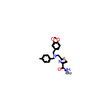 CCC(C)NC(=O)c1csc(CN(Cc2ccc(C)cc2)Cc2ccc3c(c2)OCO3)n1